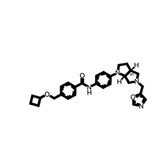 O=C(Nc1ccc(N2CC[C@@H]3CN(Cc4cnco4)C[C@@H]32)cc1)c1ccc(COC2CCC2)cc1